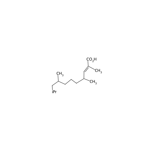 CC(=CC(C)CCCC(C)CC(C)C)C(=O)O